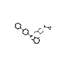 O=C(C1CC1)N1CCC(Cn2c(-c3ccc(-c4ccccc4)cc3)nc3cccc(Br)c32)C1